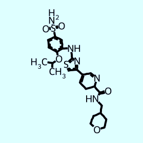 CC(C)Oc1ccc(S(N)(=O)=O)cc1Nc1nc(C2=CCC(C(=O)NCC3CCOCC3)N=C2)cs1